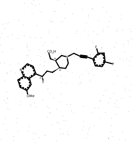 COc1ccc2nccc([C@H](F)CC[C@@H]3CCN(CC#Cc4ccc(F)cc4F)C[C@@H]3CC(=O)O)c2c1